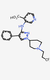 O=C(O)c1ccncc1Nc1nn(C2CCN(CCC(F)(F)F)CC2)cc1-c1ccccc1